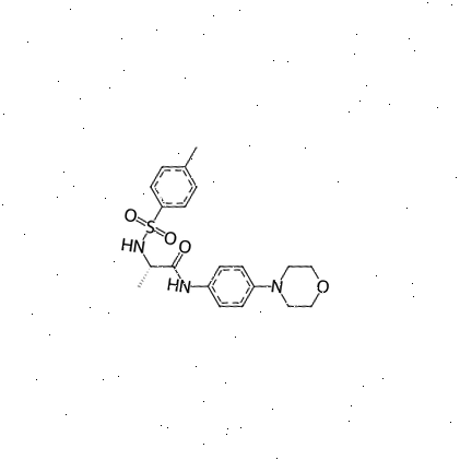 Cc1ccc(S(=O)(=O)N[C@@H](C)C(=O)Nc2ccc(N3CCOCC3)cc2)cc1